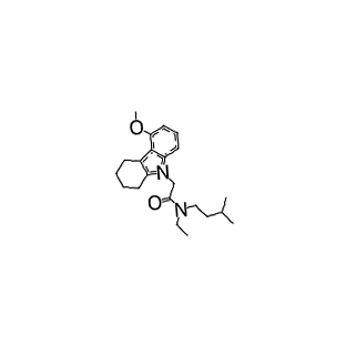 CCN(CCC(C)C)C(=O)Cn1c2c(c3c(OC)cccc31)CCCC2